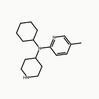 Cc1ccc(N(C2CCCCC2)C2CCNCC2)nc1